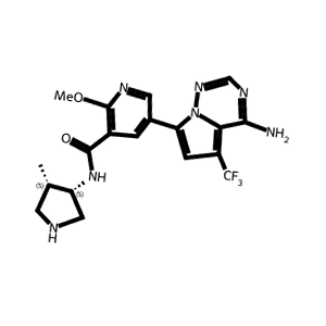 COc1ncc(-c2cc(C(F)(F)F)c3c(N)ncnn23)cc1C(=O)N[C@@H]1CNC[C@@H]1C